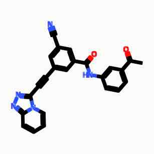 CC(=O)c1cccc(NC(=O)c2cc(C#N)cc(C#Cc3nnc4ccccn34)c2)c1